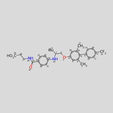 CCC(C)C(COc1cc(C)c(-c2ccc(C(F)(F)F)cc2)c(C)c1)Nc1ccc(C(=O)NCCC(=O)O)cc1